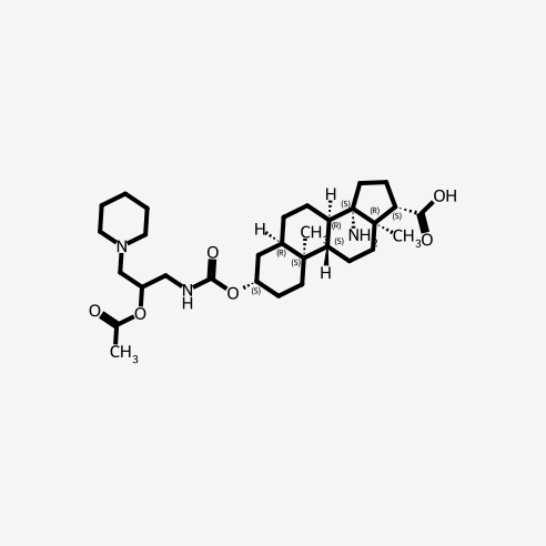 CC(=O)OC(CNC(=O)O[C@H]1CC[C@@]2(C)[C@H](CC[C@@H]3[C@@H]2CC[C@]2(C)[C@@H](C(=O)O)CC[C@]32N)C1)CN1CCCCC1